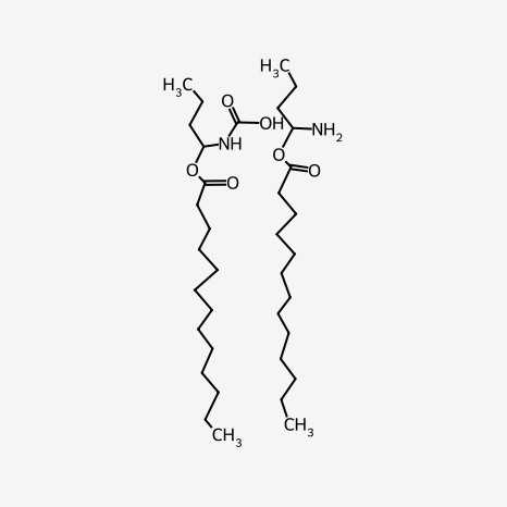 CCCCCCCCCCCCC(=O)OC(CCC)NC(=O)O.CCCCCCCCCCCCC(=O)OC(N)CCC